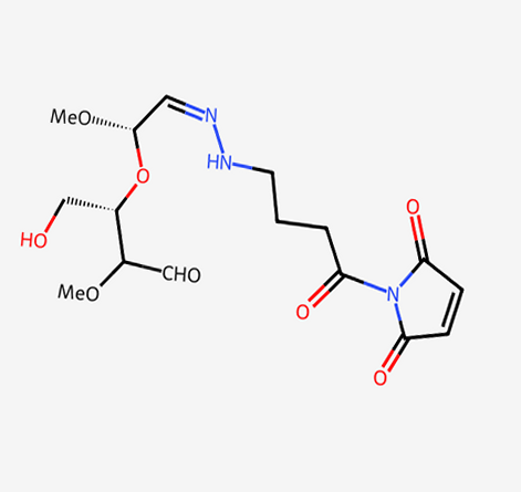 COC(C=O)[C@H](CO)O[C@@H](/C=N\NCCCC(=O)N1C(=O)C=CC1=O)OC